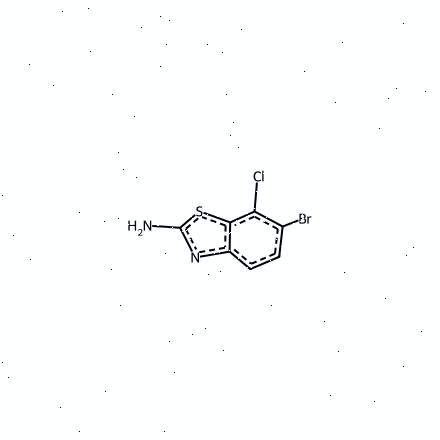 Nc1nc2ccc(Br)c(Cl)c2s1